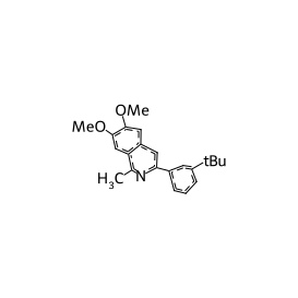 COc1cc2cc(-c3cccc(C(C)(C)C)c3)nc(C)c2cc1OC